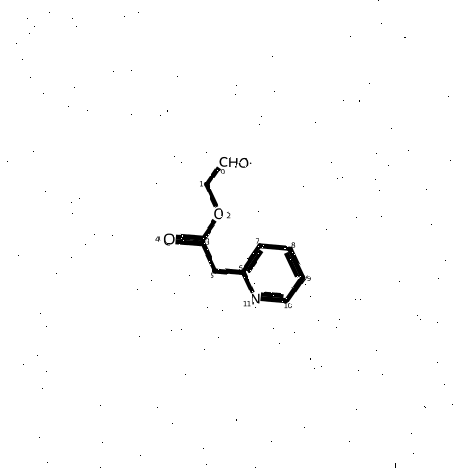 O=[C]COC(=O)Cc1ccccn1